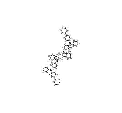 c1ccc(N(c2ccc(C3CCCCC3)cc2)c2ccc3c(c2)c2cccc4c5cc6c(cc5n3c24)c2cccc3c4cc(N(c5ccccc5)c5ccc(C7CCCCC7)cc5)ccc4n6c32)cc1